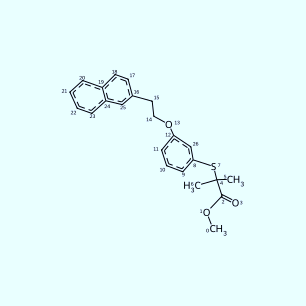 COC(=O)C(C)(C)Sc1cccc(OCCc2ccc3ccccc3c2)c1